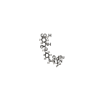 CC(C)(C)OC(=O)N(CC1(C#N)CC1)[C@@H]1C[C@H]1c1ccc(COC(=O)Nc2ccc(C(=O)O)cc2)cc1